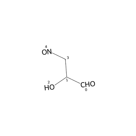 O=CC(O)CN=O